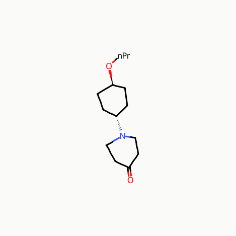 CCCO[C@H]1CC[C@H](N2CCC(=O)CC2)CC1